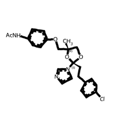 CC(=O)Nc1ccc(OC[C@]2(C)CO[C@](CCc3ccc(Cl)cc3)(n3ccnc3)O2)cc1